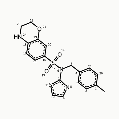 Cc1ccc(CN(c2nccs2)S(=O)(=O)c2ccc3c(c2)OCCN3)cc1